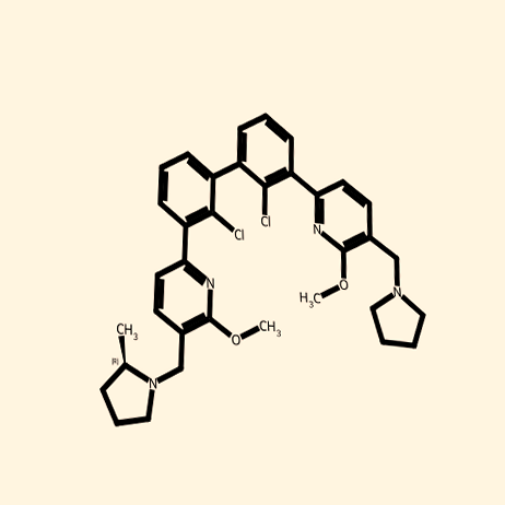 COc1nc(-c2cccc(-c3cccc(-c4ccc(CN5CCC[C@H]5C)c(OC)n4)c3Cl)c2Cl)ccc1CN1CCCC1